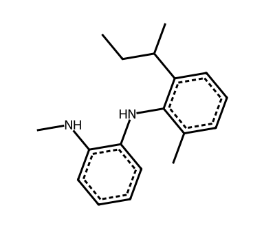 CCC(C)c1cccc(C)c1Nc1ccccc1NC